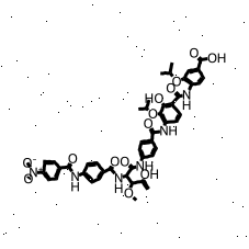 C=C(O)C(OC)C(NC(=O)c1ccc(NC(=O)c2ccc([N+](=O)[O-])cc2)cc1)C(=O)Nc1ccc(C(=O)Nc2ccc(C(=O)Nc3ccc(C(=O)O)cc3OC(C)C)c(O)c2OC(C)C)cc1